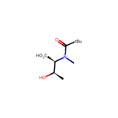 C[C@@H](O)[C@@H](C(=O)O)N(C)C(=O)C(C)(C)C